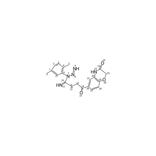 Cc1ccc(C)c(N(N=N)C(=N)SCC(=O)c2ccc3c(c2)NC(=O)CO3)c1